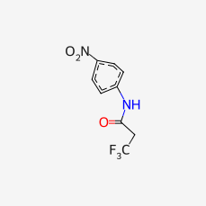 O=C(CC(F)(F)F)Nc1ccc([N+](=O)[O-])cc1